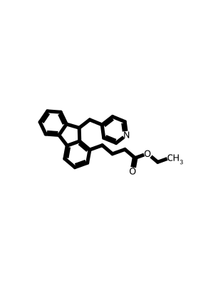 CCOC(=O)CCCc1cccc2c1C(Cc1ccncc1)c1ccccc1-2